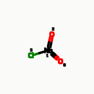 [O]=[Nb](=[O])[Cl]